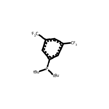 CC(C)(C)P(c1cc(C(F)(F)F)cc(C(F)(F)F)c1)C(C)(C)C